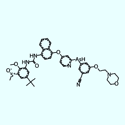 COc1c(NC(=O)Nc2ccc(Oc3ccnc([AsH]c4cc(C#N)cc(OCCN5CCOCC5)c4)c3)c3ccccc23)cc(C(C)(C)C)cc1[S+](C)[O-]